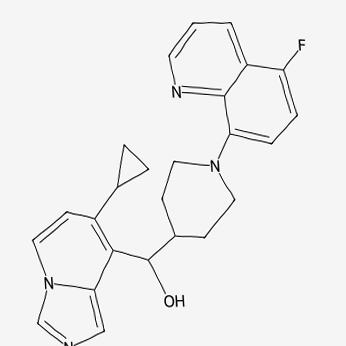 OC(c1c(C2CC2)ccn2cncc12)C1CCN(c2ccc(F)c3cccnc23)CC1